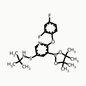 CC(C)(C)NSc1cnc(Oc2ccc(F)cc2F)c(B2OC(C)(C)C(C)(C)O2)c1